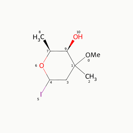 COC1(C)CC(I)O[C@@H](C)[C@H]1O